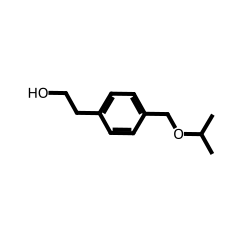 CC(C)OCc1ccc(CCO)cc1